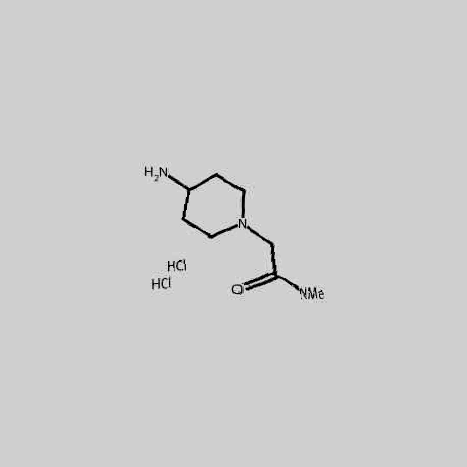 CNC(=O)CN1CCC(N)CC1.Cl.Cl